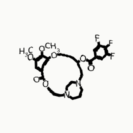 COc1cc2cc(c1OC)OCCCC(OC(=O)c1cc(F)c(F)c(F)c1)CCN1CCCN(CCCOC2=O)CC1